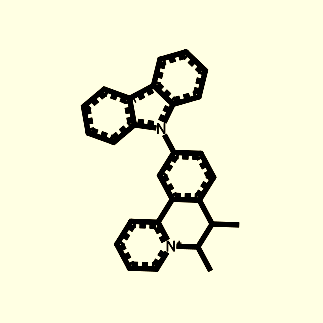 CC1c2ccc(-n3c4ccccc4c4ccccc43)cc2-c2cccc[n+]2C1C